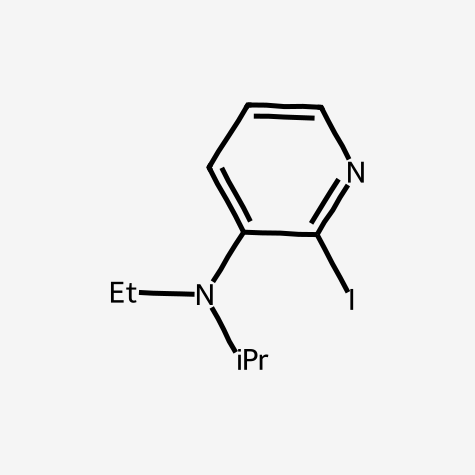 CCN(c1cccnc1I)C(C)C